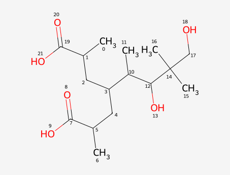 CC(CC(CC(C)C(=O)O)C(C)C(O)C(C)(C)CO)C(=O)O